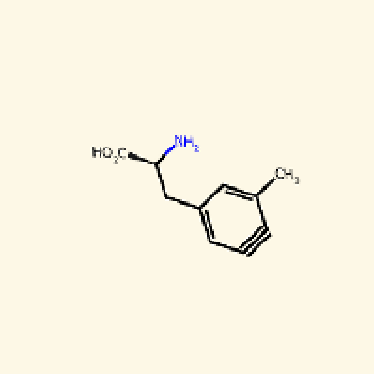 Cc1c#ccc(C[C@H](N)C(=O)O)c1